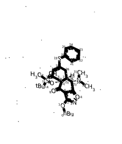 CCCCOc1noc2c1C(=O)[C@@]1(O[Si](C)(C)C(C)(C)C)C(=O)C=C(Sc3ccccc3)C[C@H]1[C@@H]2N(C)C